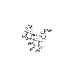 COc1ccc(Cn2cc(C(=O)NC3CC(F)(F)CC[C@@H]3O)c(=O)c3c(F)ccc(F)c32)cc1